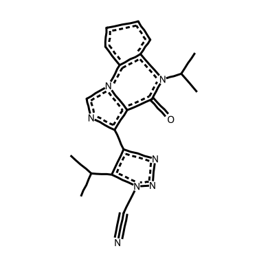 CC(C)c1c(-c2ncn3c2c(=O)n(C(C)C)c2ccccc23)nnn1C#N